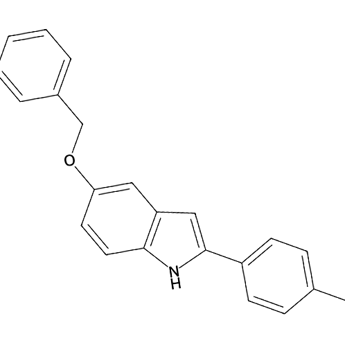 Fc1ccc(-c2cc3cc(OCc4ccccc4)ccc3[nH]2)cc1